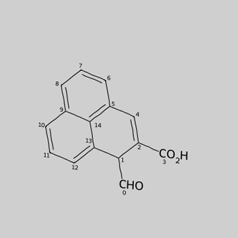 O=CC1C(C(=O)O)=Cc2cccc3cccc1c23